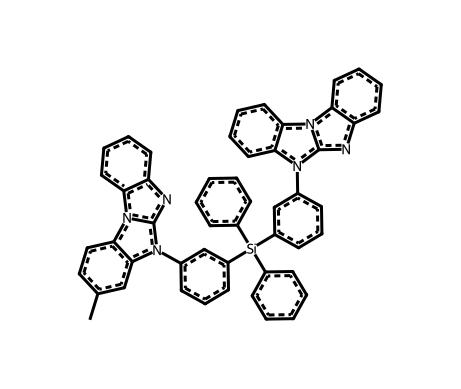 Cc1ccc2c(c1)n(-c1cccc([Si](c3ccccc3)(c3ccccc3)c3cccc(-n4c5ccccc5n5c6ccccc6nc45)c3)c1)c1nc3ccccc3n21